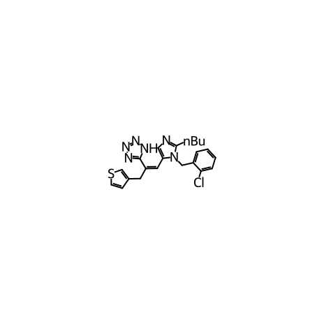 CCCCc1ncc(/C=C(/Cc2ccsc2)c2nnn[nH]2)n1Cc1ccccc1Cl